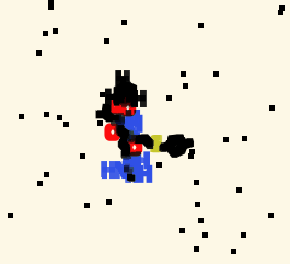 CNC(=N)NCCC[C@H](NC(=O)CCSCc1ccc(C)cc1)C(=O)N[C@@H](CC(C)C)B1O[C@@H]2C[C@@H]3C[C@@H](C3(C)C)[C@]2(C)O1